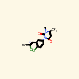 CC(=O)/C(Cl)=C/c1cc(-n2c(=O)cc(C(F)(F)F)n(C)c2=O)ccc1Cl